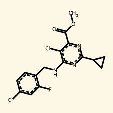 COC(=O)c1nc(C2CC2)nc(NCc2ccc(Cl)cc2F)c1Cl